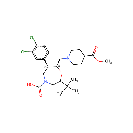 COC(=O)C1CCN(C[C@H]2OC(C(C)(C)C)CN(C(=O)O)C[C@H]2c2ccc(Cl)c(Cl)c2)CC1